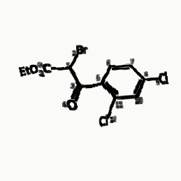 CCOC(=O)C(Br)C(=O)c1ccc(Cl)cc1Cl